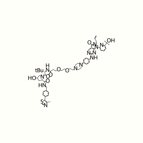 C=CCn1c(=O)c2cnc(Nc3ccc(N4CCN(CCOCCOCCC(=O)N[C@H](C(=O)N5CC(O)CC5C(=O)NCc5ccc(-c6scnc6C)cc5)C(C)(C)C)CC4)cc3)nc2n1-c1cccc(C(C)(C)O)n1